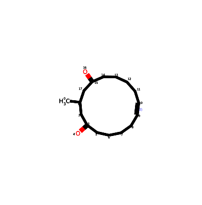 CC1CC(=O)CCCC/C=C\CCCCC(=O)C1